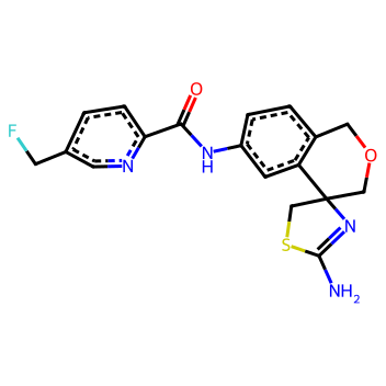 NC1=NC2(COCc3ccc(NC(=O)c4ccc(CF)cn4)cc32)CS1